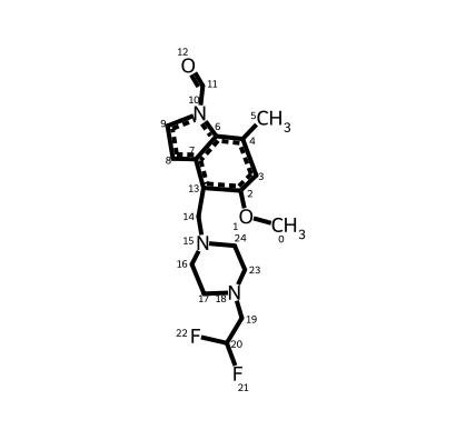 COc1cc(C)c2c(ccn2C=O)c1CN1CCN(CC(F)F)CC1